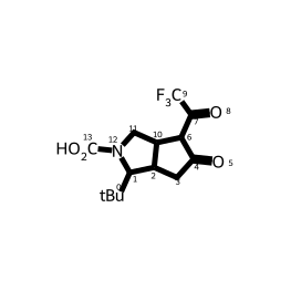 CC(C)(C)C1C2CC(=O)C(C(=O)C(F)(F)F)C2CN1C(=O)O